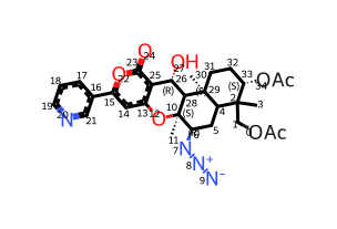 CC(=O)OCC1(C)C2C[C@@H](N=[N+]=[N-])[C@@]3(C)Oc4cc(-c5cccnc5)oc(=O)c4[C@H](O)C3[C@@]2(C)CC[C@@H]1OC(C)=O